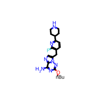 CCCCOc1nc(N)c2ncc(Cc3ccc(C4CCNCC4)nc3F)n2n1